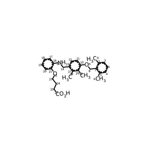 Cc1cccc(C)c1COc1ccc(CNc2ccccc2OCCCC(=O)O)c(C)c1C